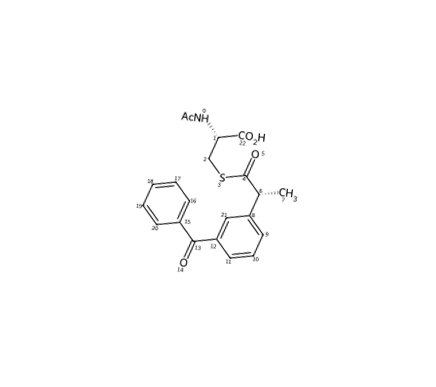 CC(=O)N[C@@H](CSC(=O)[C@H](C)c1cccc(C(=O)c2ccccc2)c1)C(=O)O